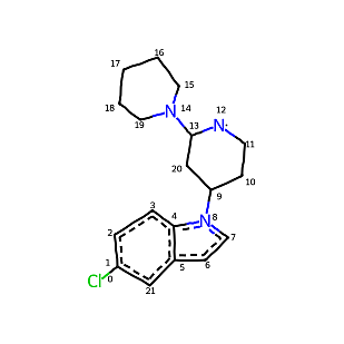 Clc1ccc2c(ccn2C2CC[N]C(N3CCCCC3)C2)c1